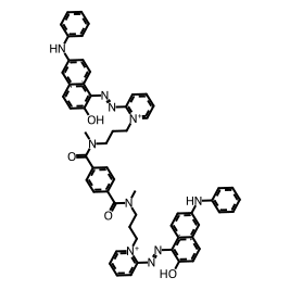 CN(CCC[n+]1ccccc1/N=N/c1c(O)ccc2cc(Nc3ccccc3)ccc12)C(=O)c1ccc(C(=O)N(C)CCC[n+]2ccccc2/N=N/c2c(O)ccc3cc(Nc4ccccc4)ccc23)cc1